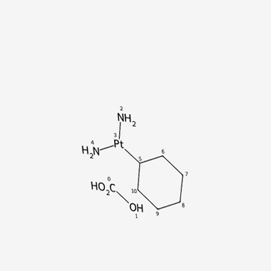 O=C(O)O.[NH2][Pt]([NH2])[CH]1CCCCC1